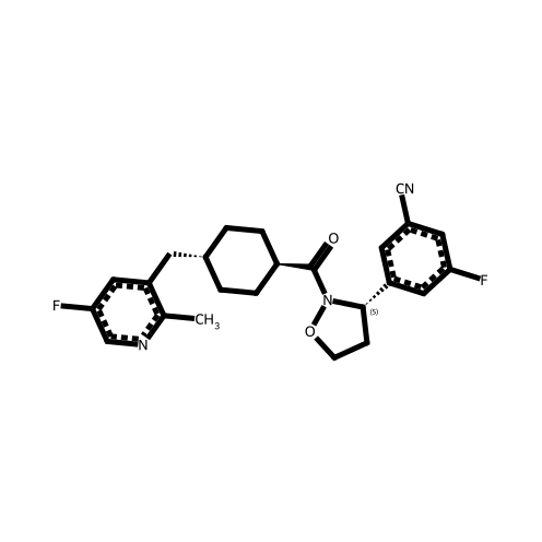 Cc1ncc(F)cc1C[C@H]1CC[C@H](C(=O)N2OCC[C@H]2c2cc(F)cc(C#N)c2)CC1